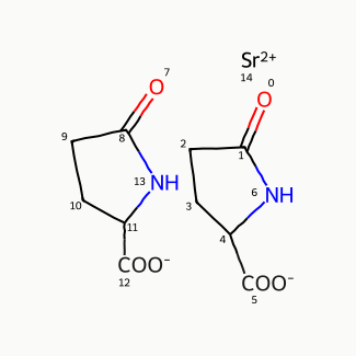 O=C1CCC(C(=O)[O-])N1.O=C1CCC(C(=O)[O-])N1.[Sr+2]